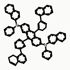 C1=Cc2cccc(-c3cccc(-c4c5ccc(N(c6ccccc6)c6ccc7ccccc7c6)cc5c(C5=CC(c6cccc7ccccc67)=CCC5)c5ccc(N(c6ccccc6)c6ccc7ccccc7c6)cc45)c3)c2CC1